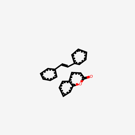 C(=Cc1ccccc1)c1ccccc1.O=c1ccc2ccccc2o1